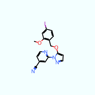 COc1cc(I)ccc1COc1ccnn1-c1cc(C#N)ccn1